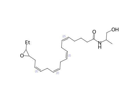 CCC1OC1C/C=C\C/C=C\C/C=C\C/C=C\CCCC(=O)NC(C)CO